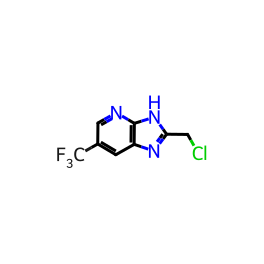 FC(F)(F)c1cnc2[nH]c(CCl)nc2c1